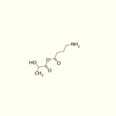 CC(O)C(=O)OC(=O)CCCN